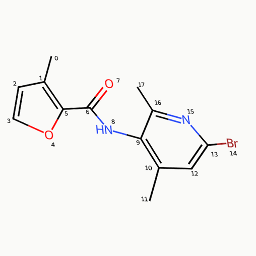 Cc1ccoc1C(=O)Nc1c(C)cc(Br)nc1C